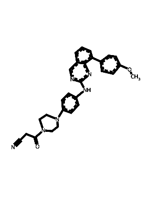 COc1ccc(-c2cccc3cnc(Nc4ccc(N5CCN(C(=O)CC#N)CC5)cc4)nc23)cc1